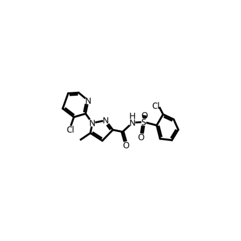 Cc1cc(C(=O)NS(=O)(=O)c2ccccc2Cl)nn1-c1ncccc1Cl